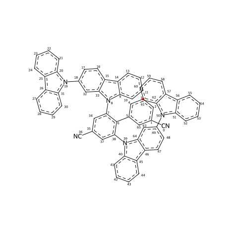 N#Cc1cccc(-c2c(-n3c4ccccc4c4ccc(-n5c6ccccc6c6ccccc65)cc43)cc(C#N)cc2-n2c3ccccc3c3ccc(-n4c5ccccc5c5ccccc54)cc32)c1